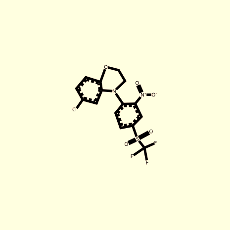 O=[N+]([O-])c1cc(S(=O)(=O)C(F)(F)F)ccc1N1CCOc2ccc(Cl)cc21